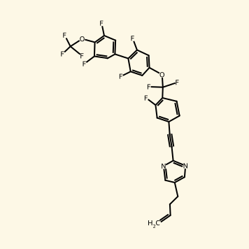 C=CCCc1cnc(C#Cc2ccc(C(F)(F)Oc3cc(F)c(-c4cc(F)c(OC(F)(F)F)c(F)c4)c(F)c3)c(F)c2)nc1